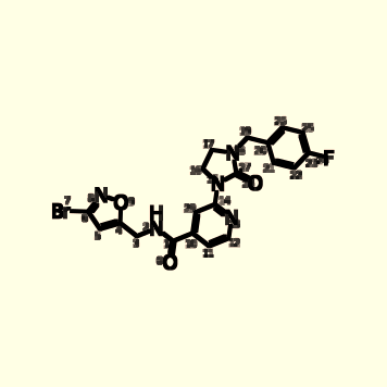 O=C(NCc1cc(Br)no1)c1ccnc(N2CCN(Cc3ccc(F)cc3)C2=O)c1